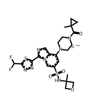 C[C@@H]1CN(c2cc(S(=O)(=O)NC3(C)COC3)cn3c(-c4nnc(C(F)F)s4)ncc23)CCN1C(=O)C1(C)CC1